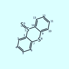 S=S1c2ccccc2Sc2ccccc21